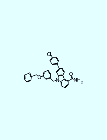 NC(=O)c1cccc2c1c1[c]cc(-c3ccc(Cl)cc3)cc1n2Cc1cccc(OCc2ccccc2)c1